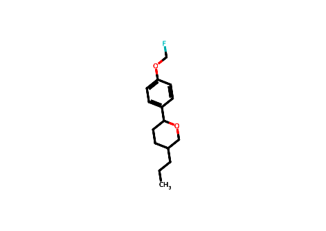 CCCC1CCC(c2ccc(OCF)cc2)OC1